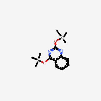 C[Si](C)(C)Oc1nc(O[Si](C)(C)C)c2ccccc2n1